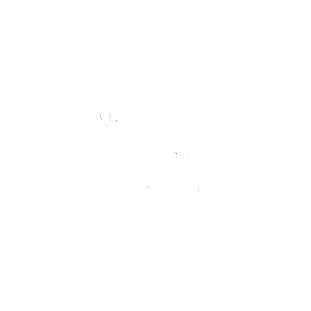 CC(C)(C)C(O[C@H]1CC[C@H](N)CC1)C(=O)O